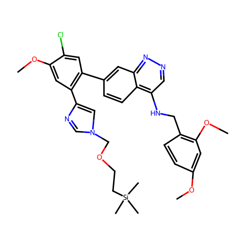 COc1ccc(CNc2cnnc3cc(-c4cc(Cl)c(OC)cc4-c4cn(COCC[Si](C)(C)C)cn4)ccc23)c(OC)c1